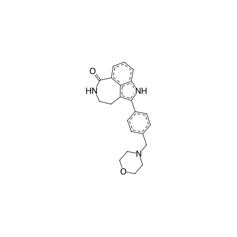 O=C1NCCc2c(-c3ccc(CN4CCOCC4)cc3)[nH]c3cccc1c23